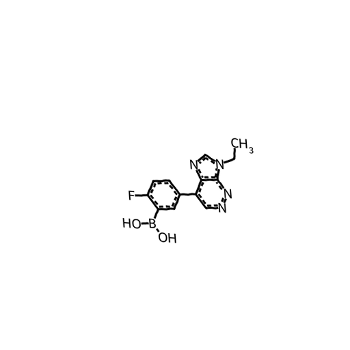 CCn1cnc2c(-c3ccc(F)c(B(O)O)c3)cnnc21